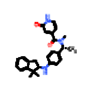 CN(C(=O)c1cc[nH]c(=O)c1)[C@@H](c1ccc(NC2Cc3ccccc3C2(C)C)cc1)C(F)(F)F